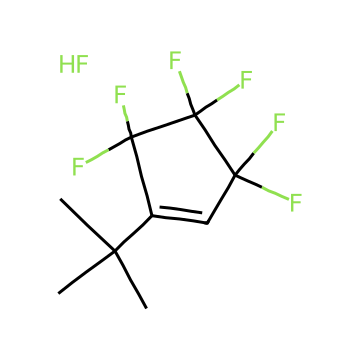 CC(C)(C)C1=CC(F)(F)C(F)(F)C1(F)F.F